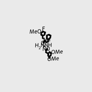 COc1cc(CC(=O)N=C(N)NC(Cc2ccccc2)C(=O)NCc2ccc(F)c(OC)c2)cc(OC)c1